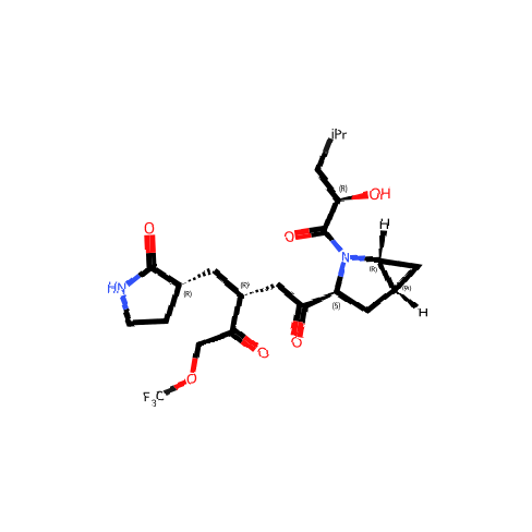 CC(C)C[C@@H](O)C(=O)N1[C@@H]2C[C@@H]2C[C@H]1C(=O)C[C@@H](C[C@@H]1CCNC1=O)C(=O)COC(F)(F)F